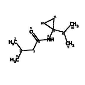 CC(C)CC(=O)NC1(C(C)C)CC1